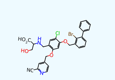 N#Cc1cc(COc2cc(OCc3cccc(-c4ccccc4)c3Br)c(Cl)cc2CNC(CO)C(=O)O)ccn1